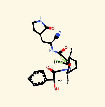 C[C@@](O)(C(=O)N1[C@H]2CC[C@@H]([C@@H]1C(=O)N[C@H](C#N)C[C@H]1CCNC1=O)C(F)(F)C2)c1ccccc1